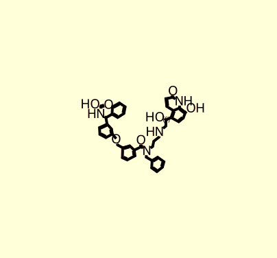 O=C(O)NC(c1ccccc1)c1cccc(OCc2cccc(C(=O)N(CCCNC[C@@H](O)c3ccc(O)c4[nH]c(=O)ccc34)Cc3ccccc3)c2)c1